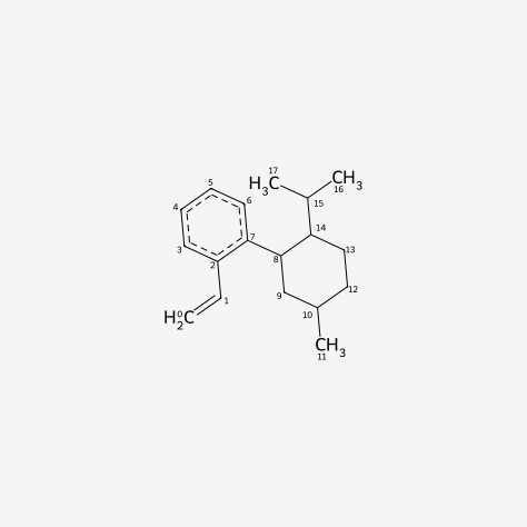 C=Cc1ccccc1C1CC(C)CCC1C(C)C